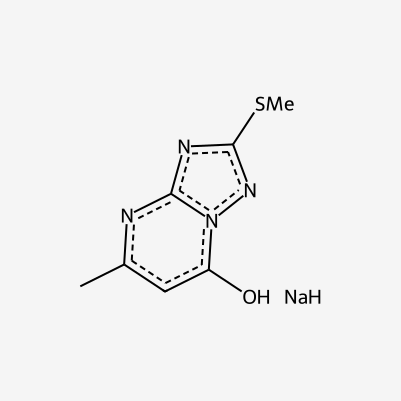 CSc1nc2nc(C)cc(O)n2n1.[NaH]